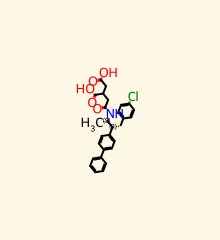 C[C@H](NC(=O)CC(CC(=O)O)C(=O)O)[C@H](Cc1ccc(Cl)cc1)c1ccc(-c2ccccc2)cc1